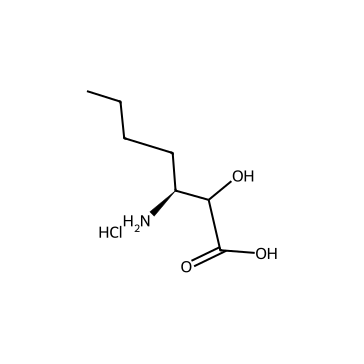 CCCC[C@H](N)C(O)C(=O)O.Cl